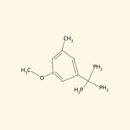 COc1cc(C)cc(C(P)(P)P)c1